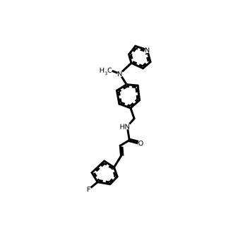 CN(c1ccncc1)c1ccc(CNC(=O)C=Cc2ccc(F)cc2)cc1